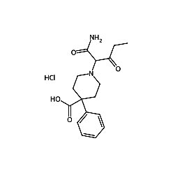 CCC(=O)C(C(N)=O)N1CCC(C(=O)O)(c2ccccc2)CC1.Cl